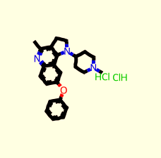 Cc1nc2ccc(Oc3ccccc3)cc2c2c1CCN2C1CCN(C)CC1.Cl.Cl